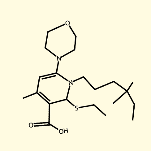 CCSC1C(C(=O)O)=C(C)C=C(N2CCOCC2)N1CCCC(C)(C)CC